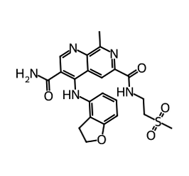 Cc1nc(C(=O)NCCS(C)(=O)=O)cc2c(Nc3cccc4c3CCO4)c(C(N)=O)cnc12